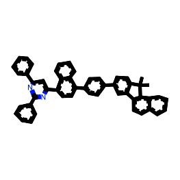 CC1(C)c2ccc(-c3ccc(-c4ccc(-c5cc(-c6ccccc6)nc(-c6ccccc6)n5)c5ccccc45)cc3)cc2-c2ccc3ccccc3c21